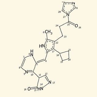 Cc1[nH]c(C=C2NC=CN=C2C2C=NNC2=O)c(C2CCC2)c1CCC(=O)n1ccnc1